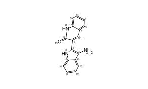 Nc1c(-c2nc3ccccc3[nH]c2=O)[nH]c2ccccc12